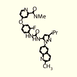 CNC(=O)c1cc(Oc2ccc(NC(=O)Nc3cc(C(C)C)nn3-c3ccc4nc(C)ccc4c3)c(F)c2)ccn1